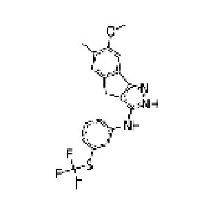 COc1cc2c(cc1C)Cc1c-2n[nH]c1Nc1cccc(SC(F)(F)F)c1